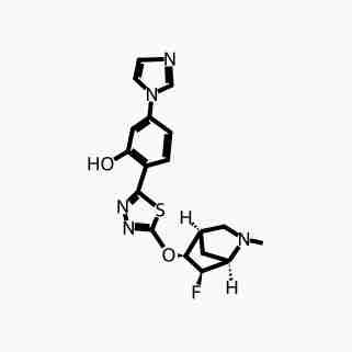 CN1C[C@H]2C[C@@H]1[C@@H](F)[C@@H]2Oc1nnc(-c2ccc(-n3ccnc3)cc2O)s1